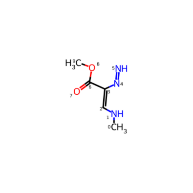 CN/C=C(\N=N)C(=O)OC